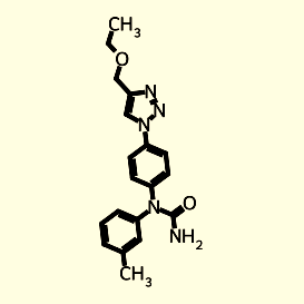 CCOCc1cn(-c2ccc(N(C(N)=O)c3cccc(C)c3)cc2)nn1